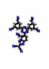 N#CC(C#N)=C1N=c2ccc(-c3nc(-c4cc(C#N)cc(C#N)c4)nc(-c4cc(C#N)cc(C#N)c4)n3)c(C#N)c2=N1